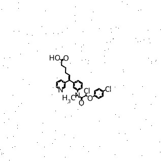 CN(C(=O)C(Cl)Oc1ccc(Cl)cc1)c1cccc(C(=CCCCC(=O)O)c2cccnc2)c1